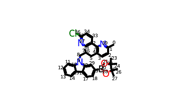 Cc1ccc(CC(C)Cn2c3ccccc3c3ccc(B4OC(C)(C)C(C)(C)O4)cc32)c(-c2ccc(Cl)nc2)n1